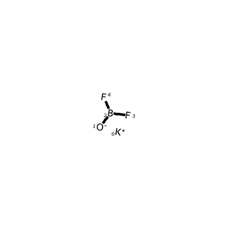 [K+].[O-]B(F)F